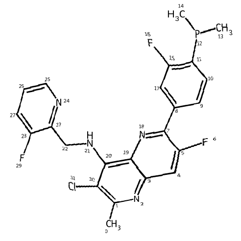 Cc1nc2cc(F)c(-c3ccc(P(C)C)c(F)c3)nc2c(NCc2ncccc2F)c1Cl